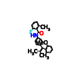 COc1ccccc1C(=C(C)C)c1ccc(NC(=O)c2c(C)cccc2F)cc1